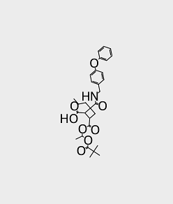 CCCC1(C(=O)NCc2ccc(Oc3ccccc3)cc2)CC(C(=O)OC(C)OC(=O)C(C)(C)C)C1C(=O)O